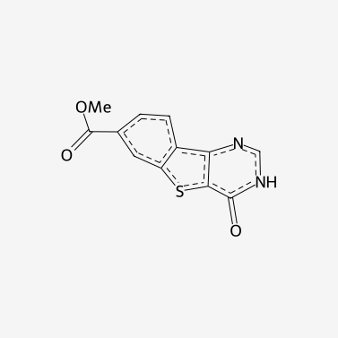 COC(=O)c1ccc2c(c1)sc1c(=O)[nH]cnc12